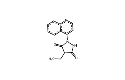 CCC1C(=O)NN(c2ccnc3ccccc23)C1=O